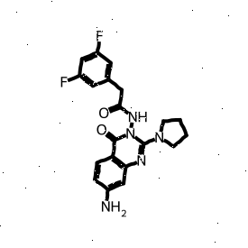 Nc1ccc2c(=O)n(NC(=O)Cc3cc(F)cc(F)c3)c(N3CCCC3)nc2c1